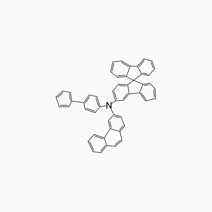 c1ccc(-c2ccc(N(c3ccc4c(c3)-c3ccccc3C43c4ccccc4-c4ccccc43)c3ccc4ccc5ccccc5c4c3)cc2)cc1